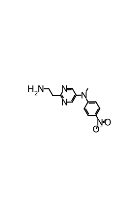 CN(c1ccc([N+](=O)[O-])cc1)c1cnc(CCN)nc1